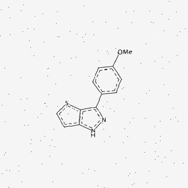 COc1ccc(-c2n[nH]c3ccsc23)cc1